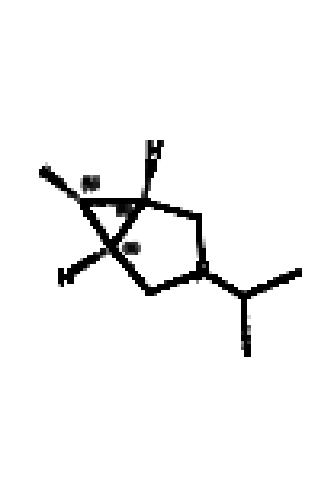 CC(C)N1C[C@@H]2[C@@H](C)[C@@H]2C1